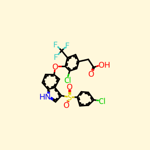 O=C(O)Cc1cc(Cl)c(Oc2ccc3[nH]cc(S(=O)(=O)c4ccc(Cl)cc4)c3c2)c(C(F)(F)F)c1